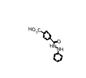 O=C(O)c1ccc(C(=O)NNc2ccccc2)cc1